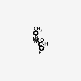 Cc1ccc(-n2cc(-c3cc4cc(F)ccc4[nH]c3=O)nn2)cc1